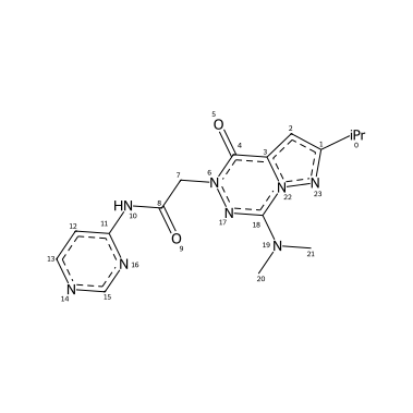 CC(C)c1cc2c(=O)n(CC(=O)Nc3ccncn3)nc(N(C)C)n2n1